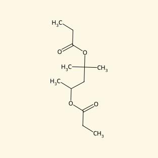 CCC(=O)OC(C)CC(C)(C)OC(=O)CC